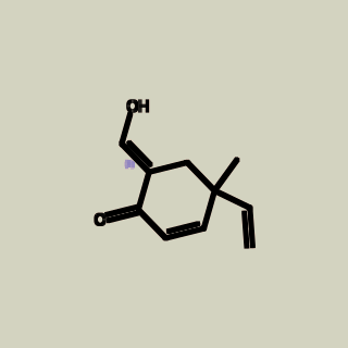 C=CC1(C)C=CC(=O)/C(=C/O)C1